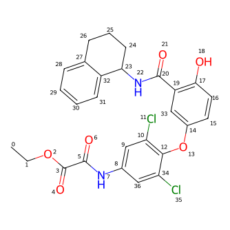 CCOC(=O)C(=O)Nc1cc(Cl)c(Oc2ccc(O)c(C(=O)NC3CCCc4ccccc43)c2)c(Cl)c1